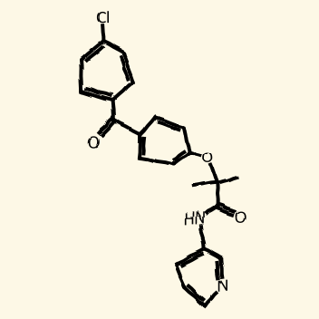 CC(C)(Oc1ccc(C(=O)c2ccc(Cl)cc2)cc1)C(=O)Nc1cccnc1